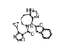 O=C(c1ocnc1C1CC1)N1CCCc2[nH]cnc2[C@H]1c1cc2ccccc2o1